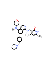 CCN(c1cc(-c2ccc(CN3CCCCC3)cc2)cc2c(NCc3c(C)cc(C)[nH]c3=O)nccc12)C1CCOCC1